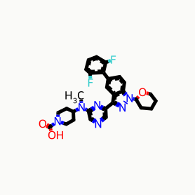 CN(c1cncc(-c2nn(C3CCCCO3)c3ccc(-c4c(F)cccc4F)cc23)n1)C1CCN(C(=O)O)CC1